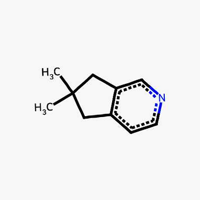 CC1(C)Cc2ccncc2C1